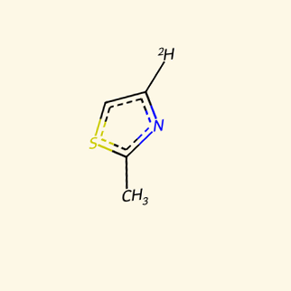 [2H]c1csc(C)n1